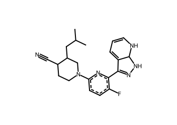 CC(C)CC1CN(c2ccc(F)c(C3=NNC4NC=CC=C34)n2)CCC1C#N